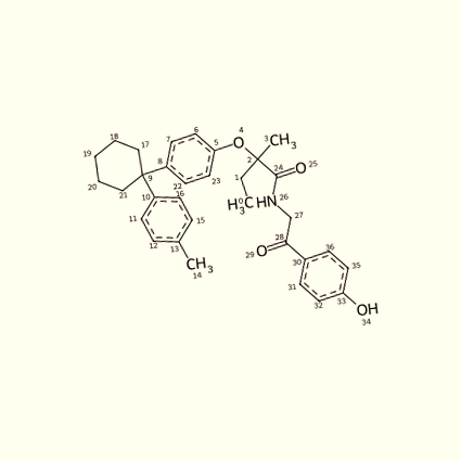 CCC(C)(Oc1ccc(C2(c3ccc(C)cc3)CCCCC2)cc1)C(=O)NCC(=O)c1ccc(O)cc1